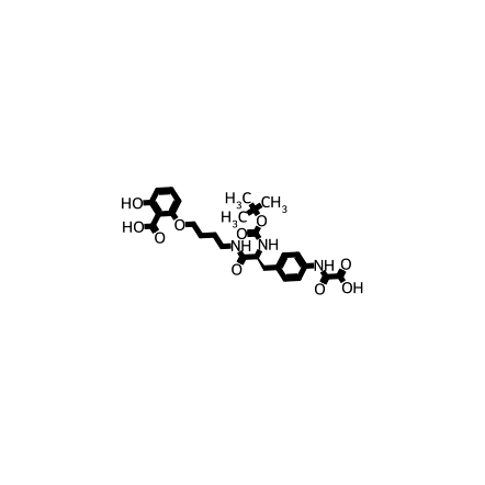 CC(C)(C)OC(=O)N[C@@H](Cc1ccc(NC(=O)C(=O)O)cc1)C(=O)NCCCCOc1cccc(O)c1C(=O)O